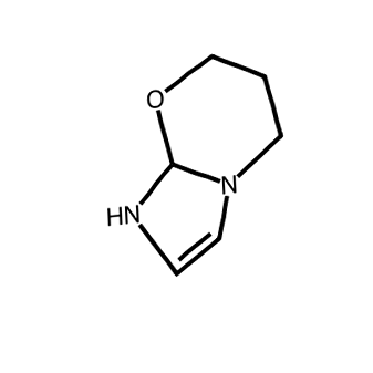 C1=CN2CCCOC2N1